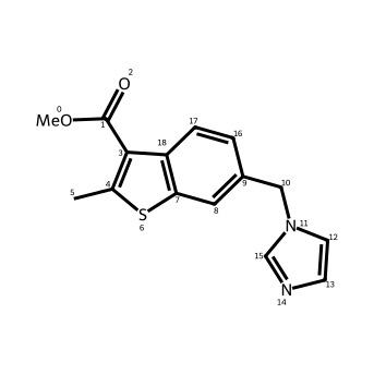 COC(=O)c1c(C)sc2cc(Cn3ccnc3)ccc12